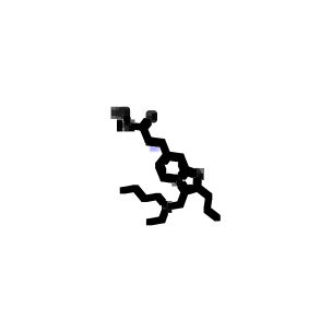 CCCCN(CC)Cc1c(CCC)nc2cc(/C=C/C(=O)NO)ccn12